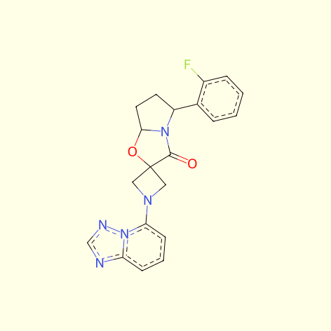 O=C1N2C(CCC2c2ccccc2F)OC12CN(c1cccc3ncnn13)C2